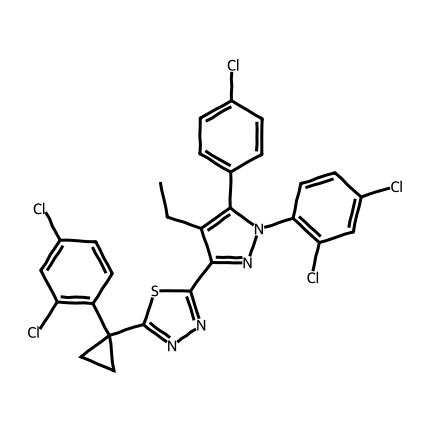 CCc1c(-c2nnc(C3(c4ccc(Cl)cc4Cl)CC3)s2)nn(-c2ccc(Cl)cc2Cl)c1-c1ccc(Cl)cc1